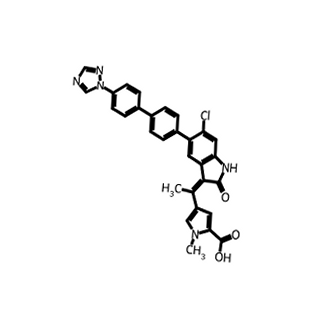 C/C(=C1/C(=O)Nc2cc(Cl)c(-c3ccc(-c4ccc(-n5cncn5)cc4)cc3)cc21)c1cc(C(=O)O)n(C)c1